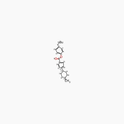 CCC(C)Cc1ccc(OC(=O)c2ccc(C3CCC(C)CC3)cc2)cc1